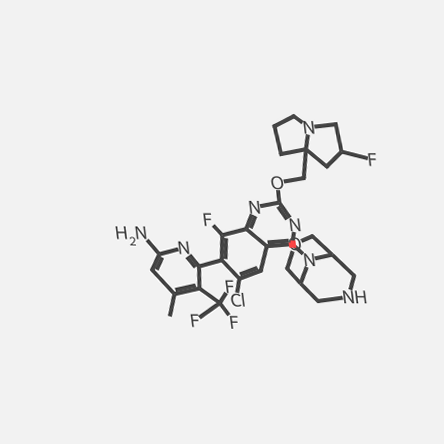 Cc1cc(N)nc(-c2c(Cl)cc3c(N4C5CNCC4COC5)nc(OCC45CCCN4CC(F)C5)nc3c2F)c1C(F)(F)F